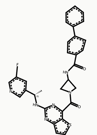 C[C@H](Nc1nc(C(=O)N2CC(NC(=O)c3ccc(-c4ccccc4)cc3)C2)c2sccc2n1)c1cncc(F)c1